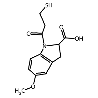 COc1ccc2c(c1)CC(C(=O)O)N2C(=O)CCS